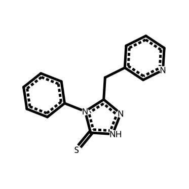 S=c1[nH]nc(Cc2cccnc2)n1-c1ccccc1